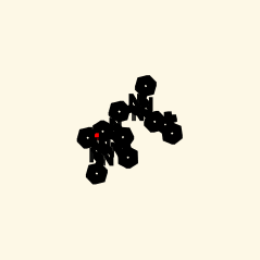 CC1(C)c2ccccc2-c2ccc(-c3nc(-c4ccccc4)nc(-c4cccc(-n5c6ccccc6c6c5ccc5c7ccccc7n(-c7nc(-c8ccccc8)nc(-c8ccccc8)n7)c56)c4)n3)cc21